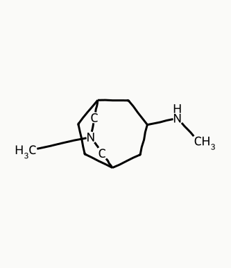 CNC1CC2CCC(C1)CN(C)C2